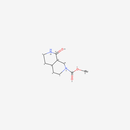 CC(C)(C)OC(=O)N1CCC2CCNC(=O)C2C1